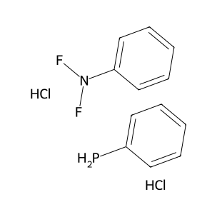 Cl.Cl.FN(F)c1ccccc1.Pc1ccccc1